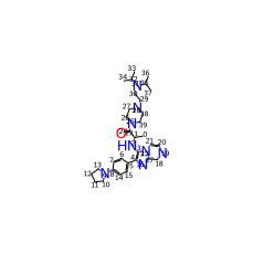 CC(Nc1c(-c2ccc(N3CCCC3)cc2)nc2cnccn12)C(=O)N1CCN(CCN(C(C)C)C(C)C)CC1